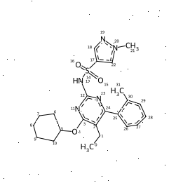 CCc1c(OC2CCCCC2)nc(NS(=O)(=O)c2cnn(C)c2)nc1-c1ccccc1C